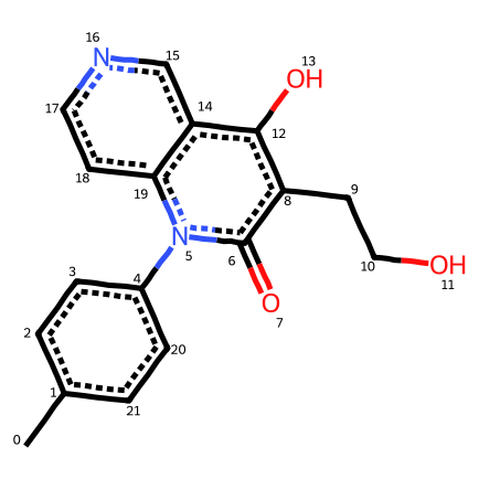 Cc1ccc(-n2c(=O)c(CCO)c(O)c3cnccc32)cc1